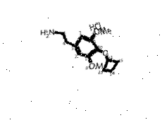 COc1cc(CCN)cc(OC)c1OC1CCC1.Cl